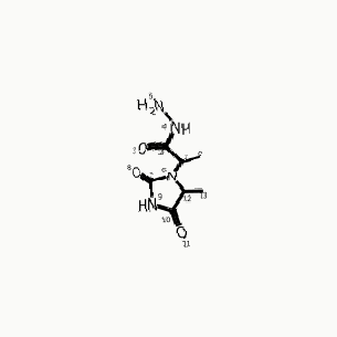 CC(C(=O)NN)N1C(=O)NC(=O)C1C